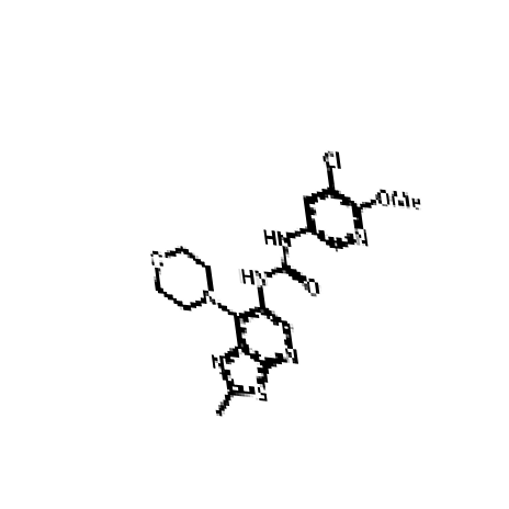 COc1ncc(NC(=O)Nc2cnc3sc(C)nc3c2N2CCOCC2)cc1Cl